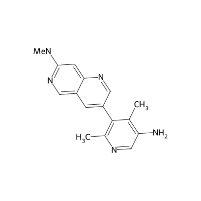 CNc1cc2ncc(-c3c(C)ncc(N)c3C)cc2cn1